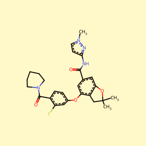 Cn1ccc(NC(=O)c2cc(Oc3ccc(C(=O)N4CCCCC4)c(F)c3)c3c(c2)OC(C)(C)C3)n1